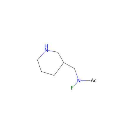 CC(=O)N(F)CC1CCCNC1